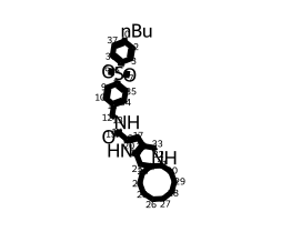 CCCCc1ccc(S(=O)(=O)c2ccc(CNC(=O)c3cc4c([nH]3)CC3(CCCCCCCCC3)NC4)cc2)cc1